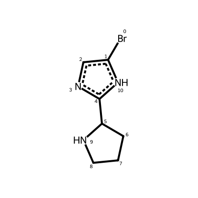 Brc1cnc(C2CCCN2)[nH]1